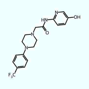 O=C(CN1CCN(c2ccc(C(F)(F)F)cc2)CC1)Nc1ccc(O)cn1